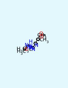 Cc1cc(-c2ccc(-c3cnn(C)c3Nc3cncc(OC(C)C)n3)nc2)ccc1C(C)OC(=O)C1CC1